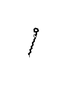 ICCCCCCCCCCOCC1CCCCC1